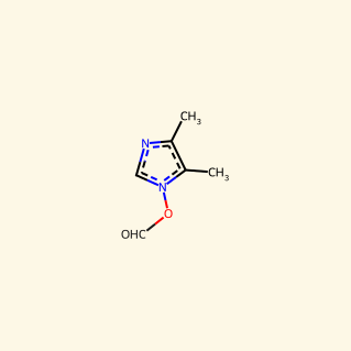 Cc1ncn(OC=O)c1C